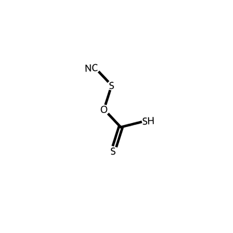 N#CSOC(=S)S